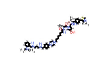 Cc1ncsc1-c1ccc([C@H](C)NC(=O)C2CC(O)CN2C(=O)C(NC(=O)CCCCCCCN2CCN(c3ccc(CNCCCNCc4ccccc4N(C)C)cc3)CC2)C(C)(C)C)cc1